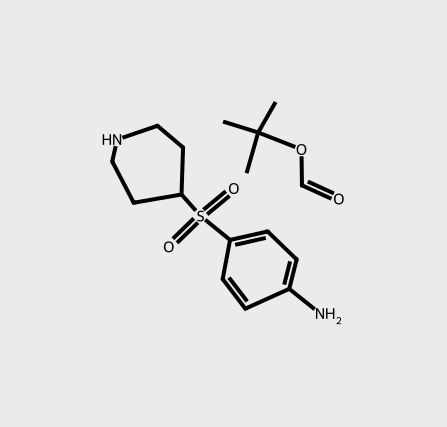 CC(C)(C)OC=O.Nc1ccc(S(=O)(=O)C2CCNCC2)cc1